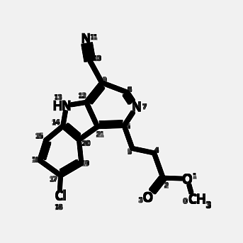 COC(=O)CCc1ncc(C#N)c2[nH]c3ccc(Cl)cc3c12